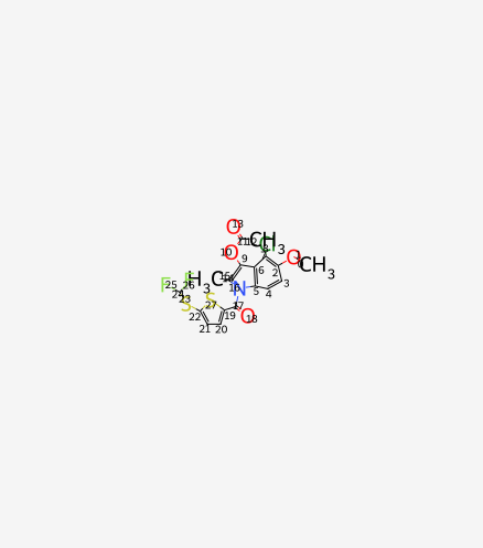 COc1ccc2c(c1Cl)c(OC(C)=O)c(C)n2C(=O)c1ccc(SC(F)F)s1